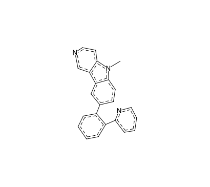 Cn1c2ccncc2c2cc(-c3ccccc3-c3ccccn3)ccc21